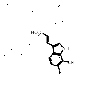 N#Cc1c(F)ccc2c(C=CC(=O)O)c[nH]c12